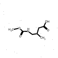 COC(=O)NCC(C)CC(=O)O